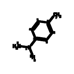 [2H]N(N)c1ccc(C)cc1